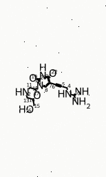 N=C(N)NCC#Cc1cn(C2CNCC(CO)O2)c(=O)[nH]c1=O